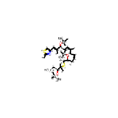 C/C(=C/C[C@H](O[Si](C)(C)C(C)(C)C)/C(C)=C/c1csc(C)n1)C/C=C\[C@H](C)[C@H](O[Si](C)(C)C(C)(C)C)[C@@H](C)SC(C)(C)[C@H](CC(=O)O)O[Si](C)(C)C(C)(C)C